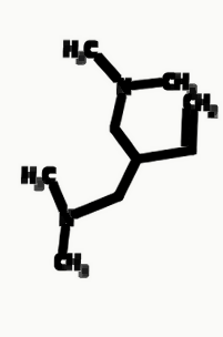 C=CC(CN(C)C)CN(C)C